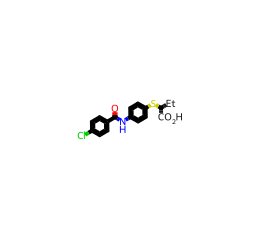 CCC(Sc1ccc(NC(=O)c2ccc(Cl)cc2)cc1)C(=O)O